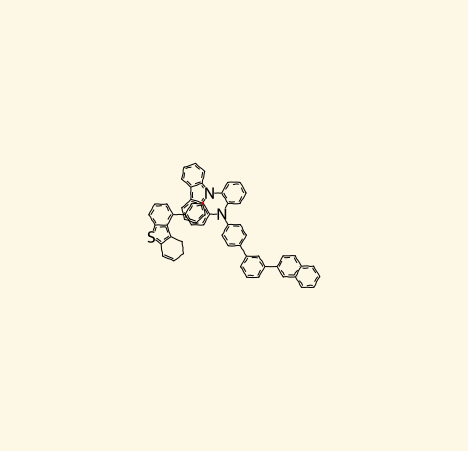 C1=Cc2sc3cccc(-c4ccc(N(c5ccc(-c6cccc(-c7ccc8ccccc8c7)c6)cc5)c5ccccc5-n5c6ccccc6c6ccccc65)cc4)c3c2CC1